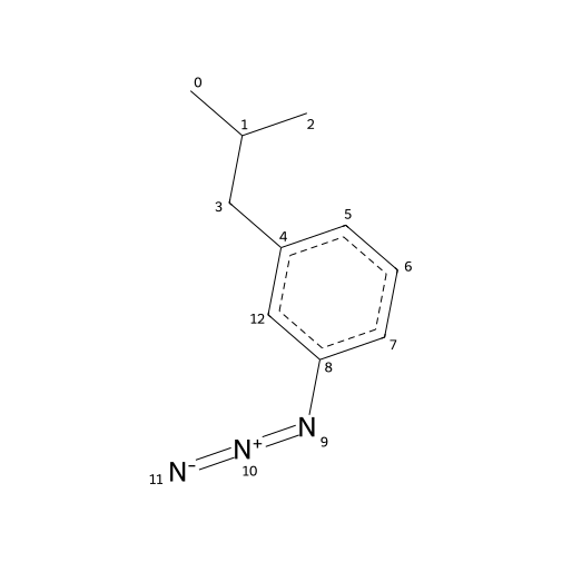 CC(C)Cc1cccc(N=[N+]=[N-])c1